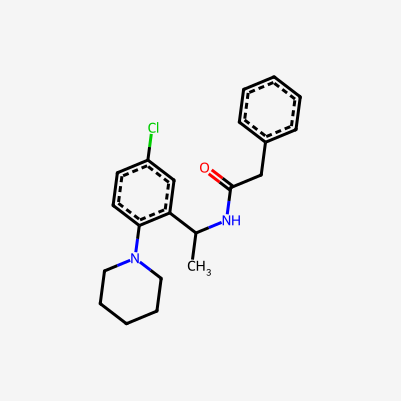 CC(NC(=O)Cc1ccccc1)c1cc(Cl)ccc1N1CCCCC1